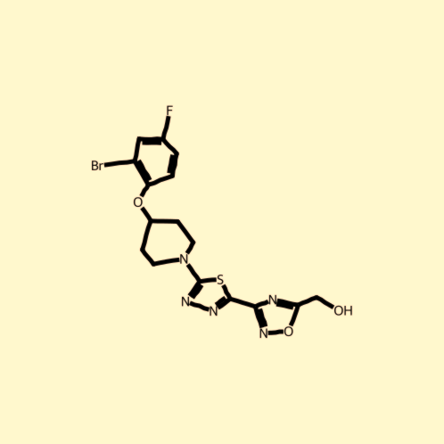 OCc1nc(-c2nnc(N3CCC(Oc4ccc(F)cc4Br)CC3)s2)no1